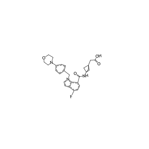 O=C(O)CC12CC(NC(=O)c3ccc(F)c4ccn(Cc5ccc(N6CCOCC6)cc5)c34)(C1)C2